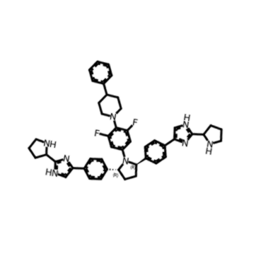 Fc1cc(N2[C@@H](c3ccc(-c4c[nH]c(C5CCCN5)n4)cc3)CC[C@@H]2c2ccc(-c3c[nH]c(C4CCCN4)n3)cc2)cc(F)c1N1CCC(c2ccccc2)CC1